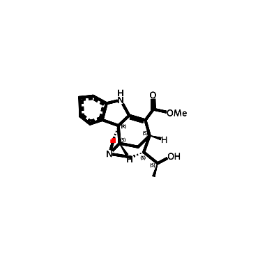 COC(=O)C1=C2Nc3ccccc3[C@@]23CCN2C[C@@H]([C@H](C)O)[C@@H]1C[C@H]23